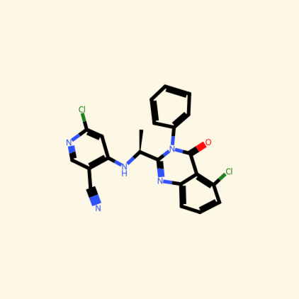 C[C@H](Nc1cc(Cl)ncc1C#N)c1nc2cccc(Cl)c2c(=O)n1-c1ccccc1